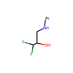 CC(C)NCC(O)C(F)F